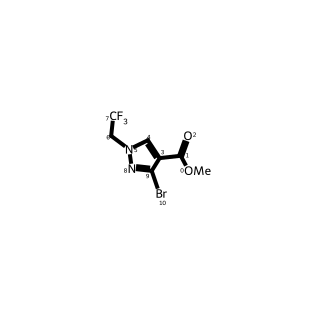 COC(=O)c1cn(CC(F)(F)F)nc1Br